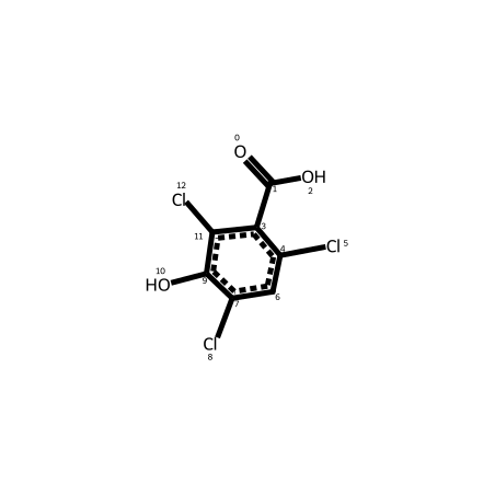 O=C(O)c1c(Cl)cc(Cl)c(O)c1Cl